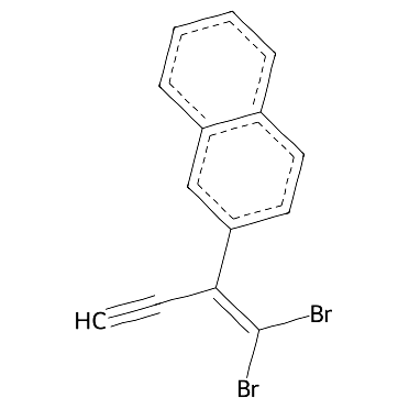 C#CC(=C(Br)Br)c1ccc2ccccc2c1